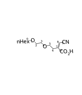 CCCCCCOCCOCCC(=CC#N)C(=O)O